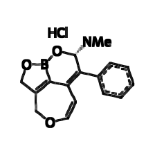 CN[C@H]1OB2OCC3=C2C(=C1c1ccccc1)C=COC3.Cl